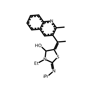 CCN1/C(=N\C(C)C)S/C(=C(\C)c2cc3ccccc3nc2C)C1O